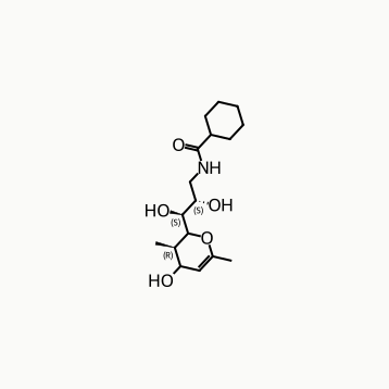 CC1=CC(O)[C@@H](C)C([C@@H](O)[C@@H](O)CNC(=O)C2CCCCC2)O1